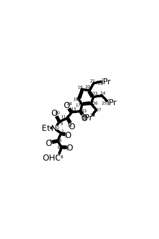 CCN(C(=O)C(=O)C(=O)C=O)C(=O)C(=O)C(=O)C(=O)c1ccc(CC(C)C)c(CC(C)C)c1CC(C)C